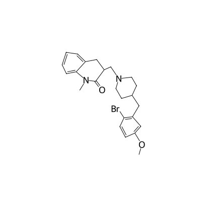 COc1ccc(Br)c(CC2CCN(CC3Cc4ccccc4N(C)C3=O)CC2)c1